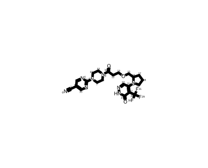 N#Cc1cnc(N2CCN(C(=O)CCOCC3CCCN3c3cn[nH]c(=O)c3C(F)(F)F)CC2)nc1